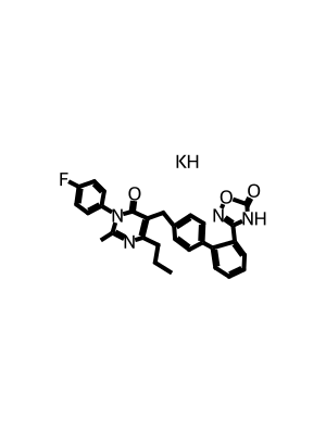 CCCc1nc(C)n(-c2ccc(F)cc2)c(=O)c1Cc1ccc(-c2ccccc2-c2noc(=O)[nH]2)cc1.[KH]